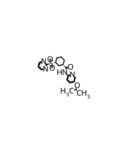 CC(C)Oc1ccc(NC(=O)[C@@H]2CCC[C@@H](S(=O)(=O)c3ncccn3)C2)nc1